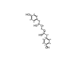 Oc1ccc(CC(S)OCOC(S)Cc2ccc(O)cc2)cc1